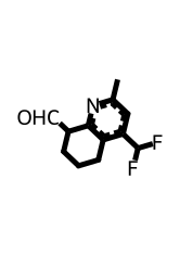 Cc1cc(C(F)F)c2c(n1)C(C=O)CCC2